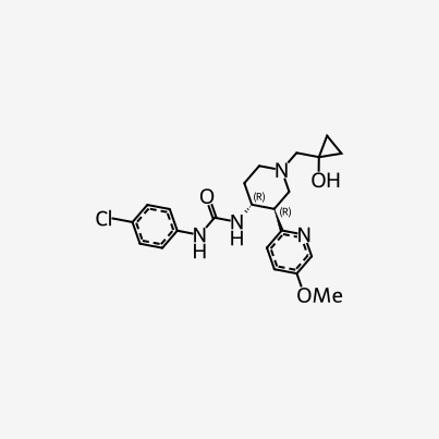 COc1ccc([C@@H]2CN(CC3(O)CC3)CC[C@H]2NC(=O)Nc2ccc(Cl)cc2)nc1